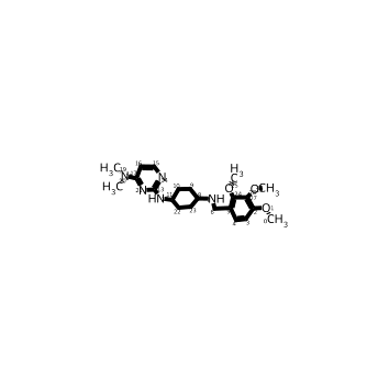 COc1ccc(CNC2CCC(Nc3nccc(N(C)C)n3)CC2)c(OC)c1OC